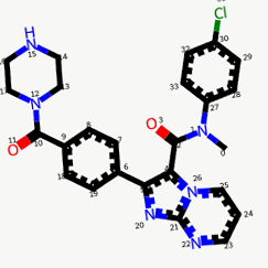 CN(C(=O)c1c(-c2ccc(C(=O)N3CCNCC3)cc2)nc2ncccn12)c1ccc(Cl)cc1